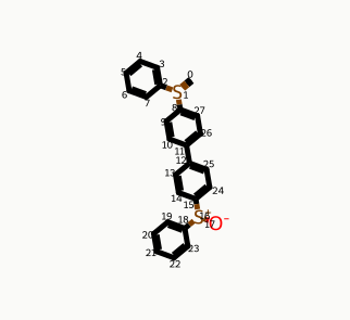 C=S(c1ccccc1)c1ccc(-c2ccc([S+]([O-])c3ccccc3)cc2)cc1